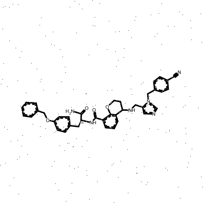 N#Cc1ccc(Cn2cncc2CNC2CCOc3c(C(=O)N[C@@H](Cc4ccc(OCc5ccccc5)cc4)C(N)=O)cccc32)cc1